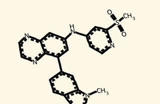 Cn1ccc2ccc(-c3cc(Nc4ccnc(S(C)(=O)=O)c4)cc4nccnc34)cc21